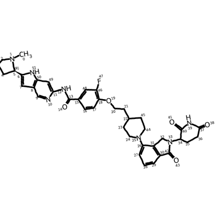 CN1CCC[C@@H]1c1cc2cnc(NC(=O)c3ccc(OCCC4CCN(c5cccc6c5CN(C5CCC(=O)NC5=O)C6=O)CC4)c(F)c3)cc2[nH]1